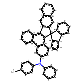 N#Cc1ccc(N(c2ccccc2)c2ccc3c4c(c5ccccc5c3c2)-c2cc3ccccc3cc2C42c3ccccc3-c3ccccc32)cc1